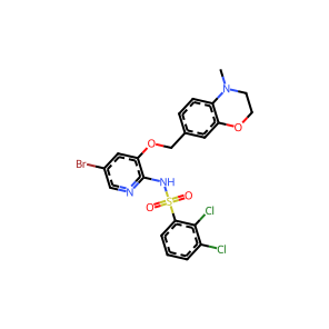 CN1CCOc2cc(COc3cc(Br)cnc3NS(=O)(=O)c3cccc(Cl)c3Cl)ccc21